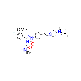 COc1cc(-c2nn(-c3ccc(CCN4CCC(N(C)C)CC4)cc3)c(=O)n2CC(=O)NC(C)C)ccc1F